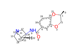 C[C@H]1COc2cc(C(=O)N[C@H]3CN4CCC3CC4)ccc2O1